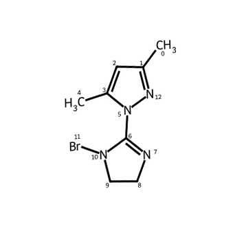 Cc1cc(C)n(C2=NCCN2Br)n1